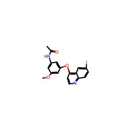 COc1cc(NC(C)=O)cc(Oc2ccnc3ccc(I)cc23)c1